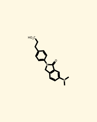 CN(C)c1ccc2c(c1)C(=O)N(c1ccc(CCC(=O)O)cc1)C2